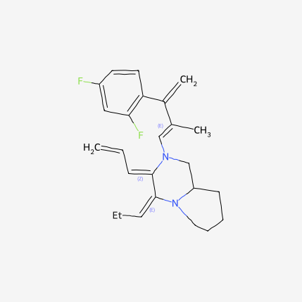 C=C/C=C1/C(=C\CC)N2CCCCC2CN1/C=C(\C)C(=C)c1ccc(F)cc1F